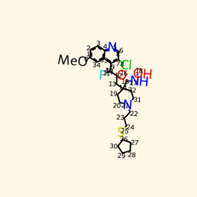 COc1ccc2ncc(Cl)c([C@H](F)CCC3(C(=O)NO)CCN(CCCSC4CCCC4)CC3)c2c1